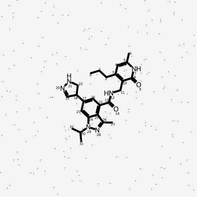 CCCc1cc(C)[nH]c(=O)c1CNC(=O)c1cc(C2C=NNC2)cc2c1c(C)nn2C(C)C